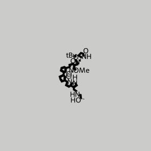 COc1nc(-c2cccc(-c3cccc(-c4ccc5c(CCNC[C@H](C)O)c[nH]c5n4)c3Cl)c2Cl)ccc1CN(C[C@@H]1CCC(=O)N1)C(=O)OC(C)(C)C